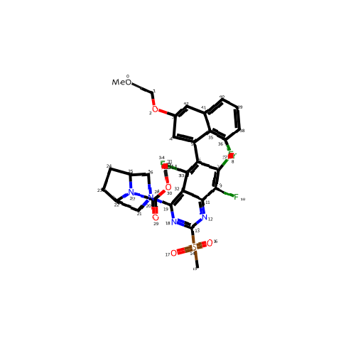 COCOc1cc(-c2c(Br)c(F)c3nc(S(C)(=O)=O)nc(N4CC5CCC(C4)N5C(=O)OC(C)(C)C)c3c2F)c2c(F)cccc2c1